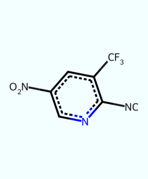 [C-]#[N+]c1ncc([N+](=O)[O-])cc1C(F)(F)F